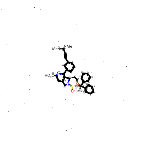 CNC(C#Cc1cccc(-c2nc(C(=O)O)cc3c2[C@@H](CCO[Si](c2ccccc2)(c2ccccc2)C(C)(C)C)N([S@+]([O-])C(C)(C)C)C3)c1)NC